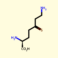 NCCC(=S)CC[C@H](N)C(=O)O